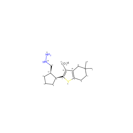 CC1(C)CCc2sc([C@H]3CCC[C@H]3CNN)c(C(=O)O)c2C1